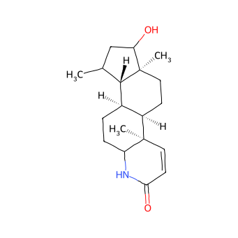 CC1CC(O)[C@@]2(C)CC[C@@H]3[C@@H](CCC4NC(=O)C=C[C@@]43C)[C@H]12